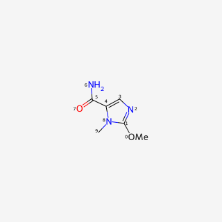 COc1ncc(C(N)=O)n1C